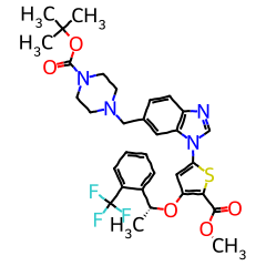 COC(=O)c1sc(-n2cnc3ccc(CN4CCN(C(=O)OC(C)(C)C)CC4)cc32)cc1O[C@H](C)c1ccccc1C(F)(F)F